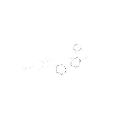 Cc1cn(-c2nc(-c3cc(S(=O)(=O)N[C@H]4CC[C@H](O)CC4)ccc3C)cnc2N)cn1